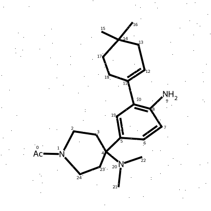 CC(=O)N1CCC(c2ccc(N)c(C3=CCC(C)(C)CC3)c2)(N(C)C)CC1